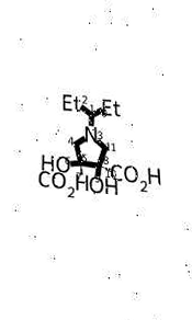 CCC(CC)N1C[C@@](O)(C(=O)O)[C@@](O)(C(=O)O)C1